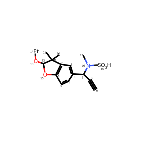 C#CC(c1ccc2c(c1)C(C)(C)C(OCC)O2)N(C)S(=O)(=O)O